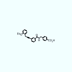 CCOc1ccccc1CC#Cc1cccc(C(=O)NCc2ccc(C(=O)O)cc2)c1